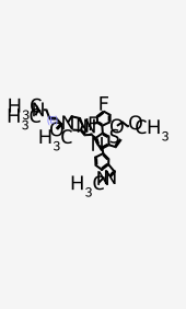 COCCOc1cc(F)cc(F)c1-c1c(-c2cc3n(n2)CCN(C(=O)/C=C/CN(C)C)C3C)nc(-c2ccc3c(cnn3C)c2)c2ccsc12